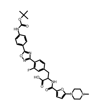 CN1CCN(c2ccc(C(=O)NC(Cc3ccc(-c4noc(-c5ccc(NC(=O)OC(C)(C)C)cc5)n4)c(F)c3)C(=O)O)o2)CC1